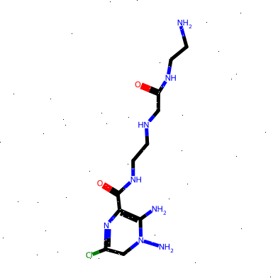 NCCNC(=O)CNCCNC(=O)C1=C(N)N(N)CC(Cl)=N1